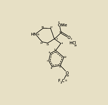 COC(=O)C1(Cc2cccc(OC(F)(F)F)c2)CCNCC1.Cl